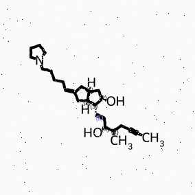 CC#CC[C@@H](C)[C@@H](O)/C=C/[C@@H]1[C@H]2CC(=CCCCCN3CCCC3)C[C@H]2C[C@H]1O